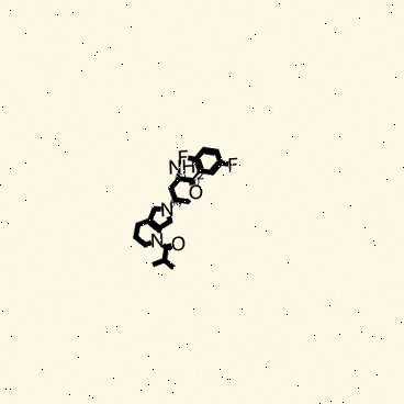 CC(C)C(=O)N1CCCC2=C1CN([C@H]1CO[C@H](c3cc(F)ccc3F)[C@@H](N)C1)C2